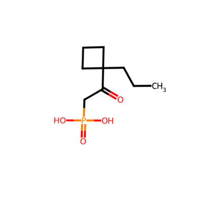 CCCC1(C(=O)CP(=O)(O)O)CCC1